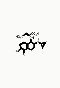 O=C(O)C=CC(=O)O.Oc1ccc2c(c1O)CCC(NC1CC1)C2O